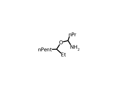 CCCCCC(CC)OC(N)CCC